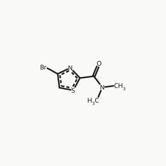 CN(C)C(=O)c1nc(Br)cs1